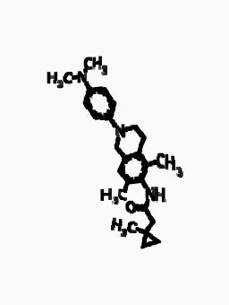 Cc1cc2c(c(C)c1NC(=O)CC1(C)CC1)CCN(c1ccc(N(C)C)cc1)C2